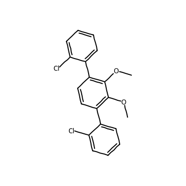 COc1c(-c2ccccc2Cl)ccc(-c2ccccc2Cl)c1OC